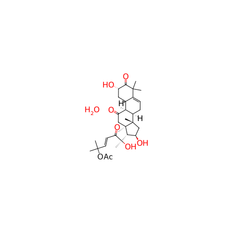 CC(=O)OC(C)(C)/C=C/C(=O)[C@](C)(O)[C@H]1[C@H](O)C[C@@]2(C)[C@@H]3CC=C4[C@@H](C[C@H](O)C(=O)C4(C)C)[C@]3(C)C(=O)C[C@]12C.O